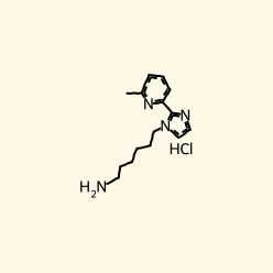 Cc1cccc(-c2nccn2CCCCCCN)n1.Cl